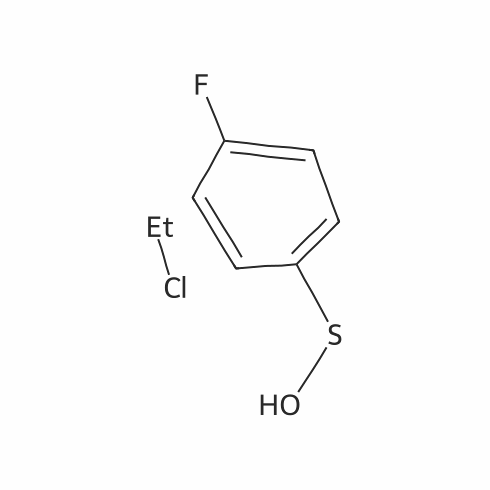 CCCl.OSc1ccc(F)cc1